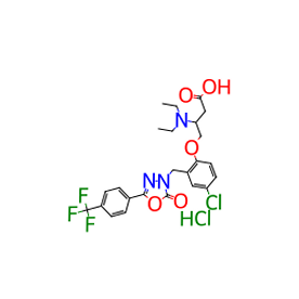 CCN(CC)C(COc1ccc(Cl)cc1Cn1nc(-c2ccc(C(F)(F)F)cc2)oc1=O)CC(=O)O.Cl